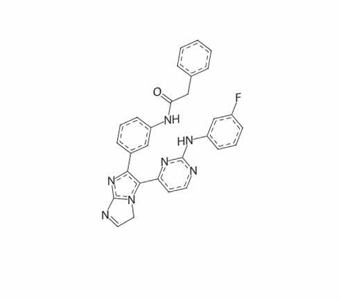 O=C(Cc1ccccc1)Nc1cccc(-c2nc3n(c2-c2ccnc(Nc4cccc(F)c4)n2)CC=N3)c1